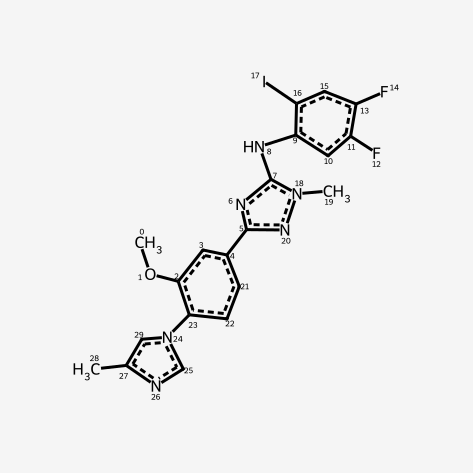 COc1cc(-c2nc(Nc3cc(F)c(F)cc3I)n(C)n2)ccc1-n1cnc(C)c1